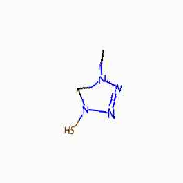 CN1CN(S)N=N1